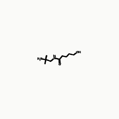 CC(C)(N)CNC(=O)CCCCO